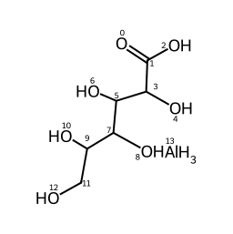 O=C(O)C(O)C(O)C(O)C(O)CO.[AlH3]